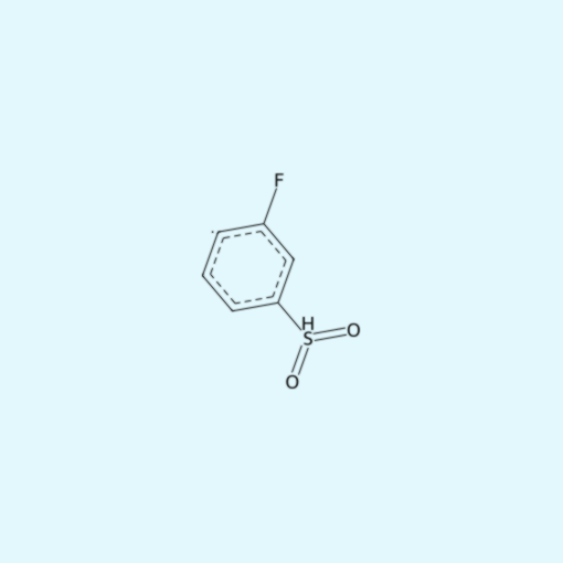 O=[SH](=O)c1cc[c]c(F)c1